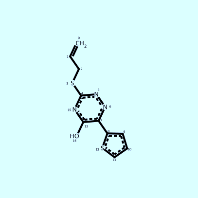 C=CCSc1nnc(-c2cccs2)c(O)n1